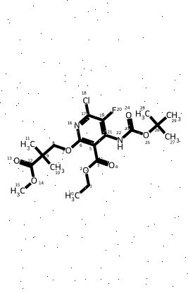 CCOC(=O)c1c(OCC(C)(C)C(=O)OC)nc(Cl)c(F)c1NC(=O)OC(C)(C)C